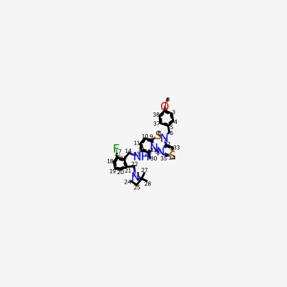 COc1ccc(CN(Sc2ccc(NCc3c(F)cccc3CN3CCC3(C)C)c(C)n2)c2cscn2)cc1